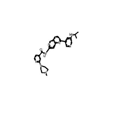 CC(C)Nc1cncc(-c2ccc3cnc(NC(=O)c4ccnc(N5CCN(C)CC5)c4)cc3n2)c1